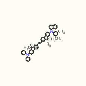 Cc1cc(C)cc(N(c2ccc3c(c2)C(C)(C)c2cc(/C=C/c4ccc5c(c4)C(C)(C)c4cc(N(c6ccccc6)c6ccccc6)ccc4-5)ccc2-3)c2cccc3ccccc23)c1